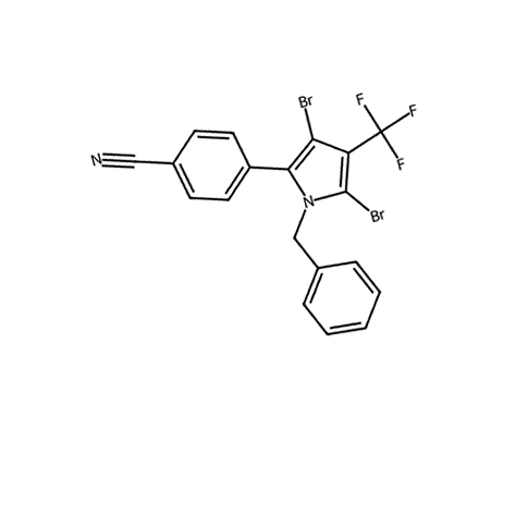 N#Cc1ccc(-c2c(Br)c(C(F)(F)F)c(Br)n2Cc2ccccc2)cc1